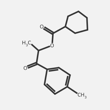 Cc1ccc(C(=O)C(C)OC(=O)C2CCCCC2)cc1